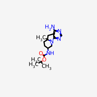 CC(C)(C)OC(=O)NC1CCC2(C)Cc3c(N)ncnc3N2C1